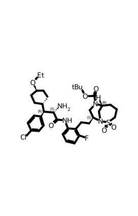 CCO[C@H]1CC[C@H]([C@H](c2ccc(Cl)cc2)[C@H](N)C(=O)Nc2cccc(F)c2CC[C@H]2CN(C(=O)OC(C)(C)C)[C@@H]3CCCS(=O)(=O)N2C3)CC1